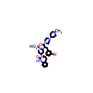 CN1CCC(N2CCN(C(=O)C(Cc3cc(Br)cc(Br)c3)[C@H]3CC(N4CCc5ccccc5NC4=O)CCN3C(=O)O)CC2)CC1